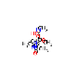 CNCC(O)COc1cc(OC)cc(-c2cc(C(C)C3CCOCC3)n3ncc(C(C)C)c3n2)c1